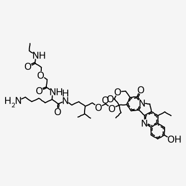 CCNC(=O)COCC(=O)NC(CCCCN)C(=O)NCCC(COC(=O)OC1(CC)C(=O)OCc2c1cc1n(c2=O)Cc2c-1nc1ccc(O)cc1c2CC)C(C)C